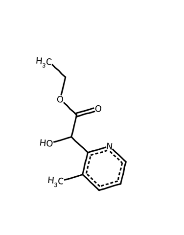 CCOC(=O)C(O)c1ncccc1C